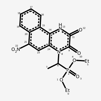 CCOP(=O)(OCC)C(C)n1c(=O)c(=O)[nH]c2c3ccccc3c([N+](=O)[O-])cc21